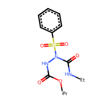 CCNC(=O)N(NC(=O)OC(C)C)S(=O)(=O)c1ccccc1